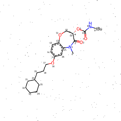 CN1C(=O)[C@@H](OC(=O)NC(C)(C)C)COc2ccc(OCCCC3CCCCC3)cc21